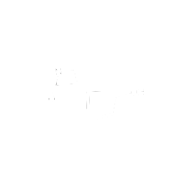 CN1CC(c2cccc(O)c2)C1=O